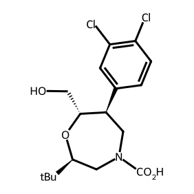 CC(C)(C)[C@@H]1CN(C(=O)O)C[C@H](c2ccc(Cl)c(Cl)c2)[C@@H](CO)O1